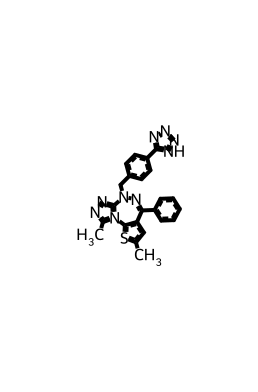 Cc1cc2c(s1)-n1c(C)nnc1N(Cc1ccc(-c3nnn[nH]3)cc1)N=C2c1ccccc1